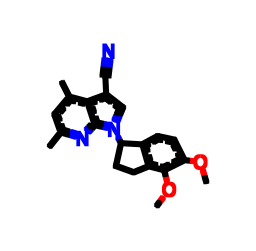 COc1ccc2c(c1OC)CCC2n1cc(C#N)c2c(C)cc(C)nc21